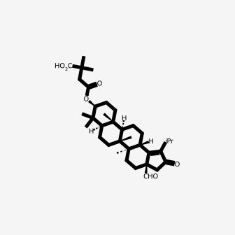 CC(C)C1=C2[C@H]3CC[C@@H]4[C@@]5(C)CC[C@H](OC(=O)CC(C)(C)C(=O)O)C(C)(C)[C@@H]5CC[C@@]4(C)[C@]3(C)CC[C@@]2(C=O)CC1=O